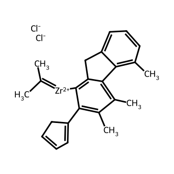 C[C](C)=[Zr+2][c]1c2c(c(C)c(C)c1C1=CC=CC1)-c1c(C)cccc1C2.[Cl-].[Cl-]